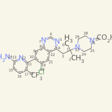 CC(C)(Cc1ncnc2cc(-c3nc(N)ccc3C(F)(F)F)c(Cl)cc12)N1CCN(C(=O)O)CC1